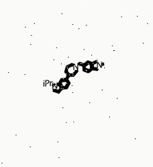 CC(C)N1CCc2ccc(C3CCCN(Cc4ccc5c(c4)CN(C)C5)CC3)cc21